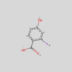 O=C(O)c1ccc(O)cc1I